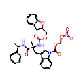 CC(NC(=O)C(C)(Cc1cn(C(=O)OCOP(=O)=O)c2ccccc12)NC(=O)OCc1cc2ccccc2o1)c1ccccc1